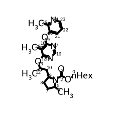 CCCCCCOC(=O)N1C(C)CCC1C[C@@H](C)Oc1ncnc(Oc2cccnc2C)c1C